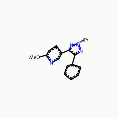 COc1ccc(-c2nn(C(C)C)nc2-c2ccccc2)cn1